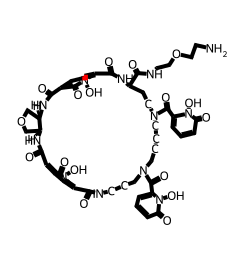 NCCOCCNC(=O)C1CCN(C(=O)c2cccc(=O)n2O)CCCCN(C(=O)c2cccc(=O)n2O)CCCNC(=O)c2ccc(c(=O)n2O)C(=O)N[C@@H]2COC[C@@H]2NC(=O)c2ccc(n(O)c2=O)C(=O)N1